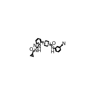 N#Cc1cccc(NC(=O)N2CCN(c3cccc4nc(NC(=O)C5CC5)nn34)CC2)c1